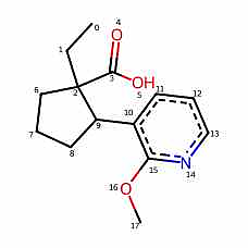 CCC1(C(=O)O)CCCC1c1cccnc1OC